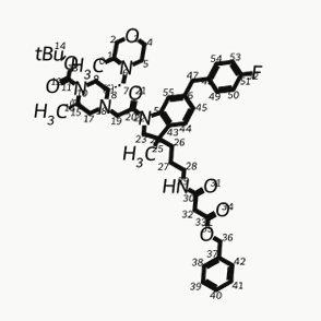 CC1COCCN1C[C@H]1CN(C(=O)OC(C)(C)C)[C@H](C)CN1CC(=O)N1CC(C)(CCCNC(=O)CC(=O)OCc2ccccc2)c2ccc(Cc3ccc(F)cc3)cc21